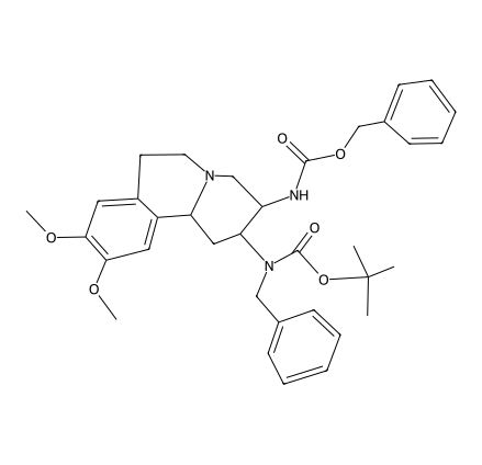 COc1cc2c(cc1OC)C1CC(N(Cc3ccccc3)C(=O)OC(C)(C)C)C(NC(=O)OCc3ccccc3)CN1CC2